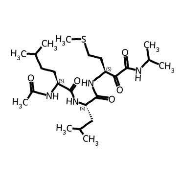 CSCC[C@H](NC(=O)[C@H](CC(C)C)NC(=O)[C@H](CCC(C)C)NC(C)=O)C(=O)C(=O)NC(C)C